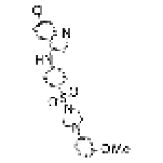 COc1cccc(N2CCN(S(=O)(=O)c3ccc(Nc4ccnc5cc(Cl)ccc45)cc3)CC2)c1